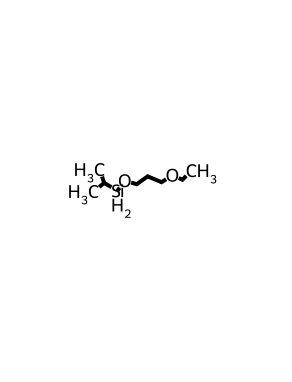 CCOCCCO[SiH2]C(C)C